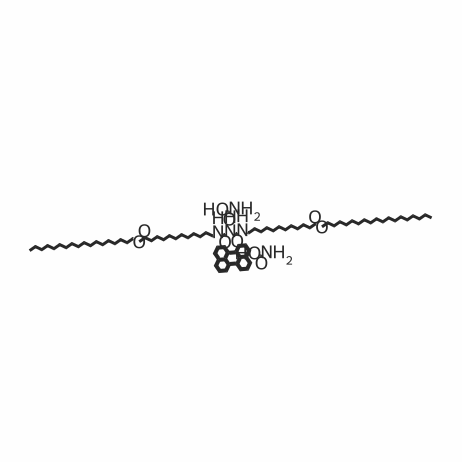 CCCCCCCCCCCCCCCCCCOC(=O)CCCCCCCCCCCNC(=O)NC(=O)NCCCCCCCCCCCC(=O)OCCCCCCCCCCCCCCCCCC.NC(=O)O.NC(=O)O.c1cc2cccc3c4cccc5cccc(c(c1)c23)c54